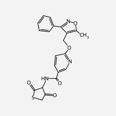 Cc1onc(-c2ccccc2)c1COc1ccc(C(=O)NC2C(=O)CSC2=O)cn1